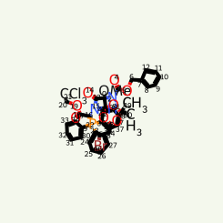 CO[C@]1(NC(=O)OCc2ccccc2)C(=O)N(C(C(=O)OCC(Cl)(Cl)Cl)=P(c2ccccc2)(c2ccccc2)c2ccccc2)[C@]12OC(CCBr)OC(C)(C)O2